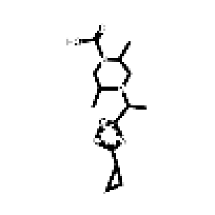 CC1CN(C(C)c2nc(C3CC3)no2)C(C)CN1C(=O)O